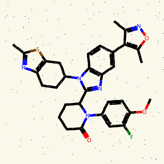 COc1ccc(N2C(=O)CCCC2c2nc3cc(-c4c(C)noc4C)ccc3n2C2CCc3nc(C)sc3C2)cc1F